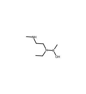 CCN(CCNC)B(C)O